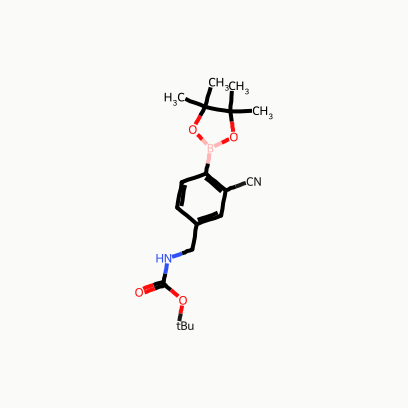 CC(C)(C)OC(=O)NCc1ccc(B2OC(C)(C)C(C)(C)O2)c(C#N)c1